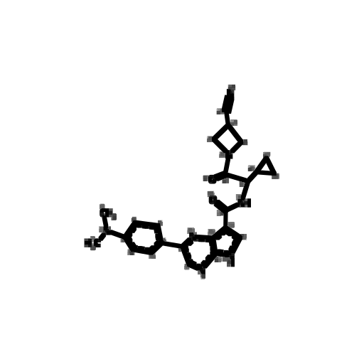 CN(C)c1ccc(-c2cnc3[nH]cc(C(=O)NC(C(=O)N4CC(C#N)C4)C4CC4)c3n2)cc1